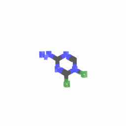 NC1N=CN(Cl)C(Cl)=N1